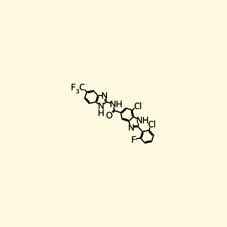 O=C(Nc1nc2cc(C(F)(F)F)ccc2[nH]1)c1cc(Cl)c2[nH]c(-c3c(F)cccc3Cl)nc2c1